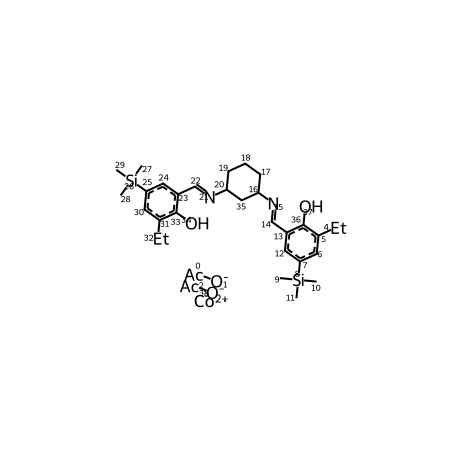 CC(=O)[O-].CC(=O)[O-].CCc1cc([Si](C)(C)C)cc(C=NC2CCCC(N=Cc3cc([Si](C)(C)C)cc(CC)c3O)C2)c1O.[Co+2]